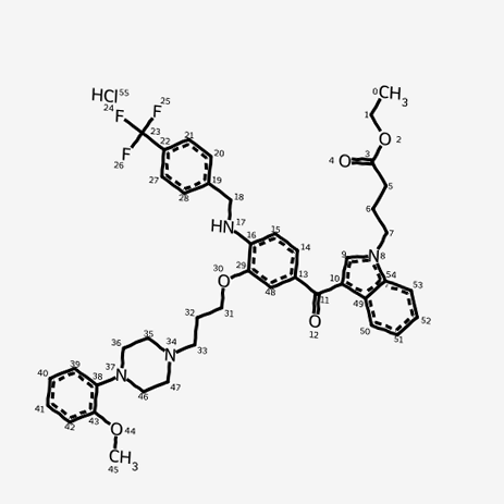 CCOC(=O)CCCn1cc(C(=O)c2ccc(NCc3ccc(C(F)(F)F)cc3)c(OCCCN3CCN(c4ccccc4OC)CC3)c2)c2ccccc21.Cl